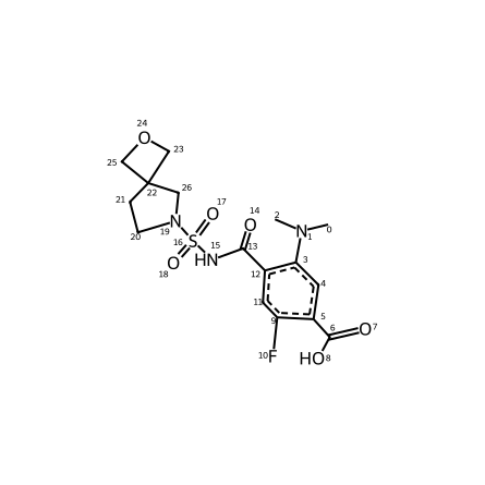 CN(C)c1cc(C(=O)O)c(F)cc1C(=O)NS(=O)(=O)N1CCC2(COC2)C1